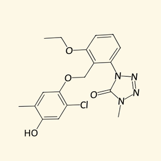 CCOc1cccc(-n2nnn(C)c2=O)c1COc1cc(C)c(O)cc1Cl